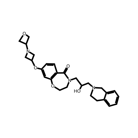 O=C1c2ccc(OC3CN(C4COC4)C3)cc2OCCN1CC(O)CN1CCc2ccccc2C1